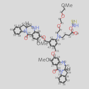 COCCOCCOCCN(CCCC(=O)ONS)c1cc(COc2cc3c(cc2OC)C(=O)N2c4ccccc4C[C@H]2C=N3)cc(COc2cc3c(cc2OC)C(=O)N2c4ccccc4C[C@H]2CN3)c1